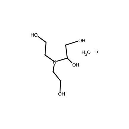 O.OCCN(CCO)C(O)CO.[Ti]